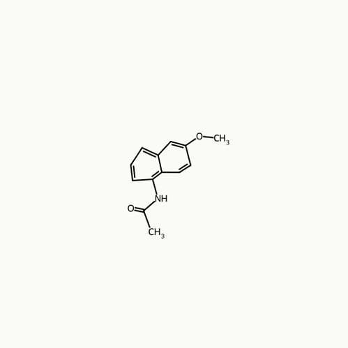 COc1ccc2c(NC(C)=O)cccc2c1